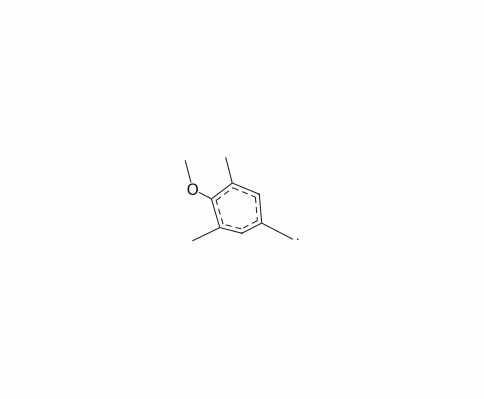 [CH2]c1cc(C)c(OC)c(C)c1